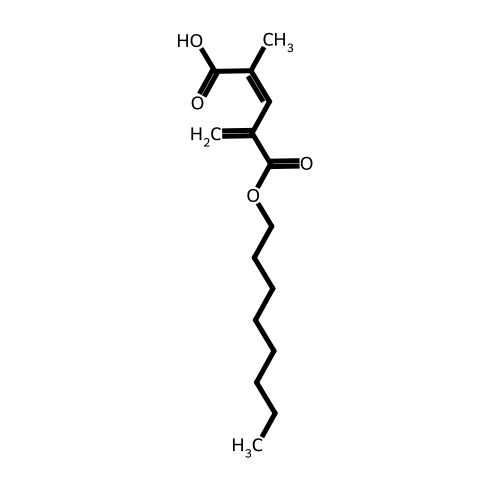 C=C(C=C(C)C(=O)O)C(=O)OCCCCCCCC